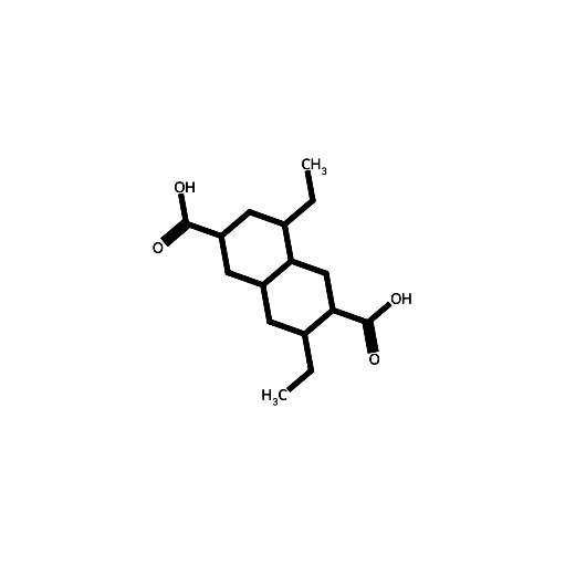 CCC1CC2CC(C(=O)O)CC(CC)C2CC1C(=O)O